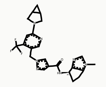 Cn1cnc2c1CC[C@H]2NC(=O)c1cnn(Cc2cnc(N3CC4CC4C3)cc2C(F)(F)F)c1